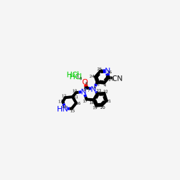 Cl.Cl.N#Cc1cc(N2C(=O)N(CC3CCNCC3)Cc3ccccc32)ccn1